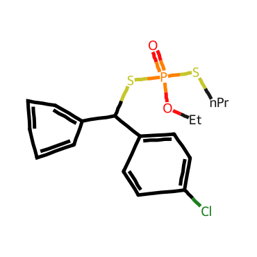 CCCSP(=O)(OCC)SC(c1ccccc1)c1ccc(Cl)cc1